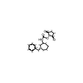 O=C(NC1CCCCN(Cc2ccccc2)C1)ON1C(=O)CCC1=O